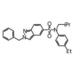 CCc1ccc(N(CC(C)C)S(=O)(=O)c2ccc3nn(Cc4ccccc4)cc3c2)cc1